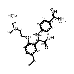 CCc1ccc(OCCN(C)C)c(C(Nc2ccc(C(=N)N)cc2)C(=O)O)c1.Cl